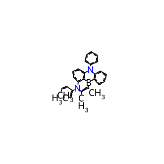 C/C=C\C(=C/C)N1C(C)=C(C)B2c3ccccc3N(c3ccccc3)c3cccc1c32